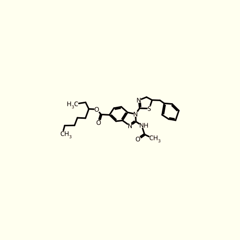 CCCCCC(CC)OC(=O)c1ccc2c(c1)nc(NC(C)=O)n2C1=NCC(Cc2ccccc2)S1